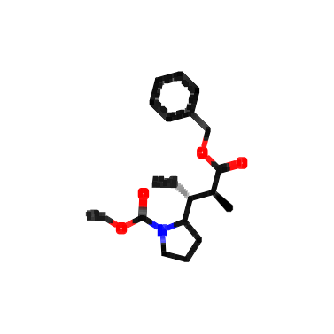 CS[C@@H](C1CCCN1C(=O)OC(C)(C)C)[C@H](C)C(=O)OCc1ccccc1